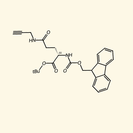 C#CCNC(=O)CC[C@H](NC(=O)OCC1c2ccccc2-c2ccccc21)C(=O)OC(C)(C)C